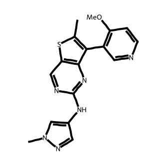 COc1ccncc1-c1c(C)sc2cnc(Nc3cnn(C)c3)nc12